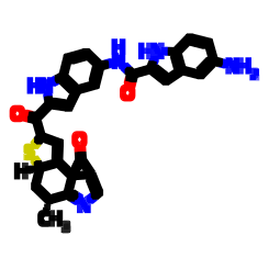 C[C@@H]1C[C@@H]2SC(C(=O)c3cc4cc(NC(=O)c5cc6cc(N)ccc6[nH]5)ccc4[nH]3)C=C2C23C(=O)C2=CN=C13